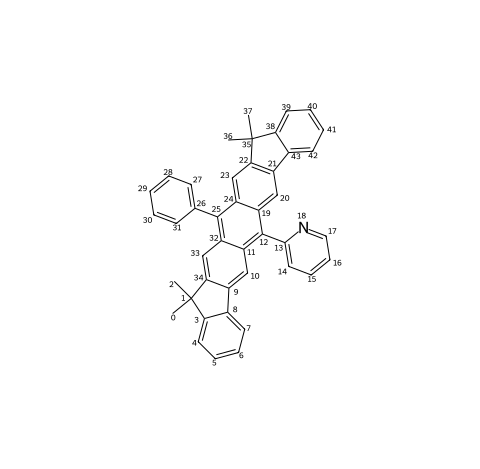 CC1(C)c2ccccc2-c2cc3c(-c4ccccn4)c4cc5c(cc4c(-c4ccccc4)c3cc21)C(C)(C)c1ccccc1-5